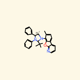 Cc1ccc2c(oc3ncccc32)c1N1C(C(C)(C)C)N(c2ccccc2)C(c2ccccc2)[C@@H]1C